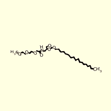 CCCCCCCCCCCCCCCCCCOC1OCC(CNC(=O)COCCOCCOC)O1